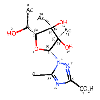 CC(=O)C(O)[C@H]1O[C@@H](n2nc(C(=O)O)nc2C)[C@@](O)(C(C)=O)[C@@]1(O)C(C)=O